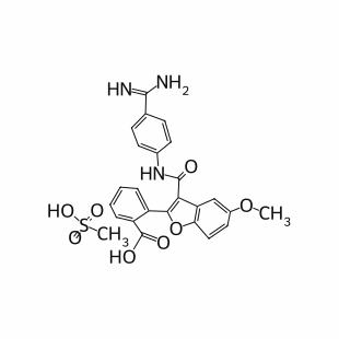 COc1ccc2oc(-c3ccccc3C(=O)O)c(C(=O)Nc3ccc(C(=N)N)cc3)c2c1.CS(=O)(=O)O